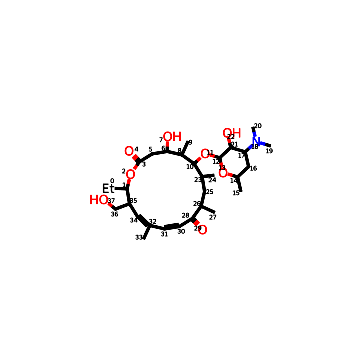 CCC1OC(=O)CC(O)C(C)C(OC2OC(C)CC(N(C)C)C2O)C(C)CC(C)C(=O)/C=C\C(C)=C/C1CO